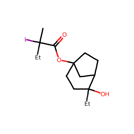 CCC(C)(I)C(=O)OC12CCC(C1)C(O)(CC)CC2